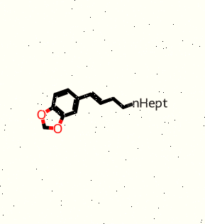 CCCCCCCCCC=Cc1ccc2c(c1)OCO2